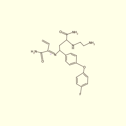 C=C/C(=N\C(CC(NCCN)C(N)=O)c1ccc(Oc2ccc(F)cc2)cc1)C(N)=O